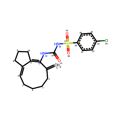 C=C1CCCC/C=C2/CCC/C2=C/1NC(=O)NS(=O)(=O)c1ccc(Cl)cc1